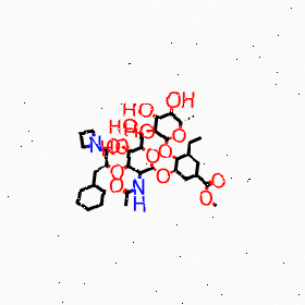 CCC1CC(C(=O)OC)C[C@@H](O[C@@H]2OC(CO)[C@H](O)C(O[C@@H](CC3CCCCC3)C(=O)N3CCC3)C2NC(C)=O)C1OC1O[C@@H](C)C(O)C(O)[C@@H]1O